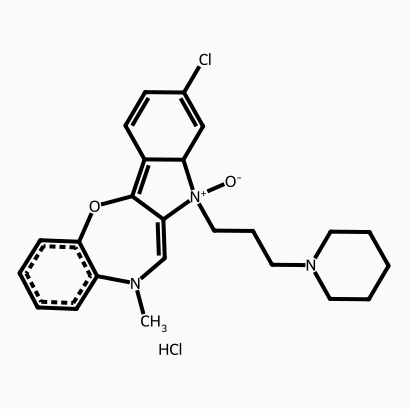 CN1C=C2C(=C3C=CC(Cl)=CC3[N+]2([O-])CCCN2CCCCC2)Oc2ccccc21.Cl